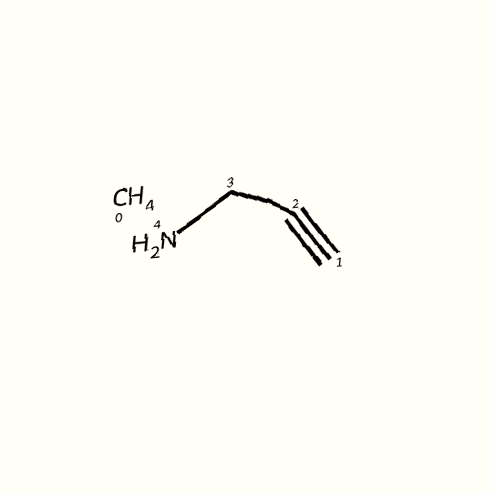 C.C#CCN